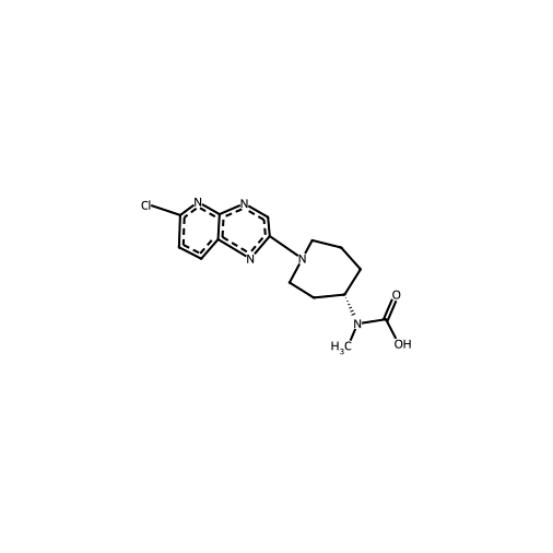 CN(C(=O)O)[C@H]1CCCN(c2cnc3nc(Cl)ccc3n2)CC1